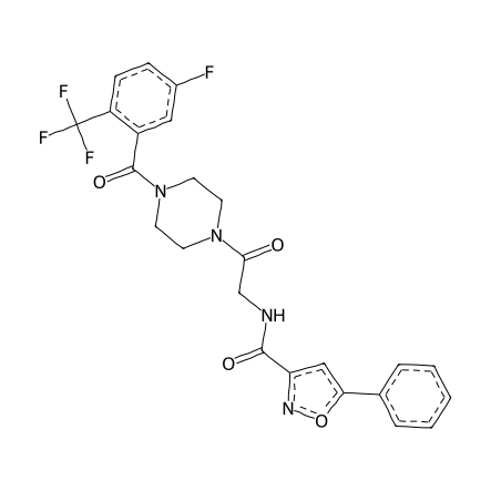 O=C(NCC(=O)N1CCN(C(=O)c2cc(F)ccc2C(F)(F)F)CC1)c1cc(-c2ccccc2)on1